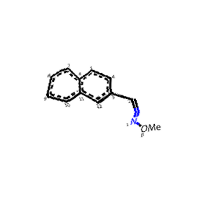 CON=Cc1ccc2ccccc2c1